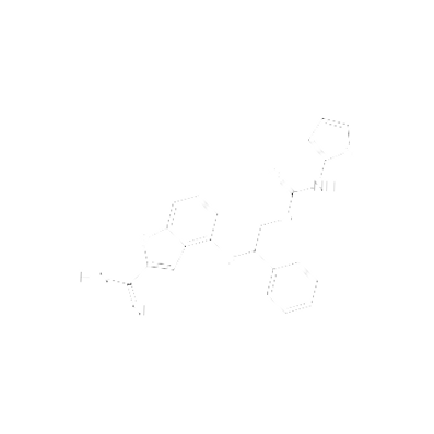 N=C(N)c1cc2c(OC(COC(=O)Nc3cccs3)c3ccccc3)cccc2s1